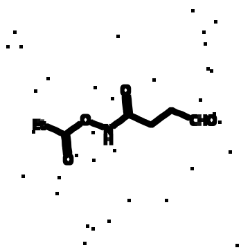 CCC(=O)ONC(=O)CCC=O